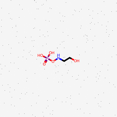 O=P(O)(O)ONCCO